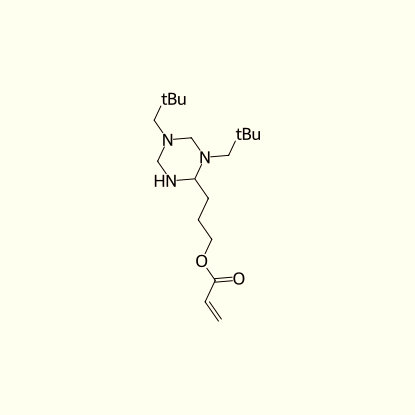 C=CC(=O)OCCCC1NCN(CC(C)(C)C)CN1CC(C)(C)C